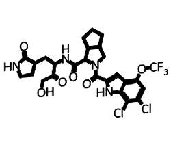 O=C1NCCC1CC(NC(=O)C1C2CCCC2CN1C(=O)c1cc2c(OC(F)(F)F)cc(Cl)c(Cl)c2[nH]1)C(=O)CO